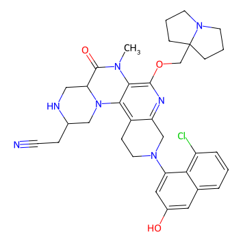 CN1C(=O)C2CNC(CC#N)CN2c2c3c(nc(OCC45CCCN4CCC5)c21)CN(c1cc(O)cc2cccc(Cl)c12)CC3